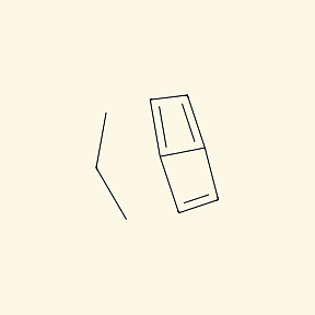 CCC.c1cc2ccc1-2